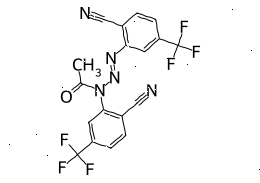 CC(=O)N(N=Nc1cc(C(F)(F)F)ccc1C#N)c1cc(C(F)(F)F)ccc1C#N